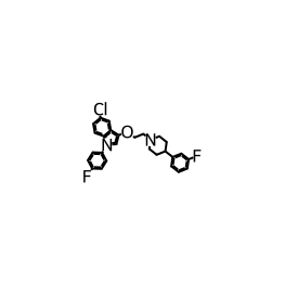 Fc1ccc(-n2cc(OCCN3CCC(c4cccc(F)c4)CC3)c3cc(Cl)ccc32)cc1